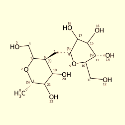 C[C@@H]1OC(CO)[C@@H](C[C@H]2OC(CO)[C@@H](O)C(O)C2O)C(O)C1O